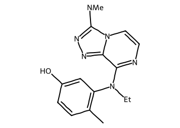 CCN(c1cc(O)ccc1C)c1nccn2c(NC)nnc12